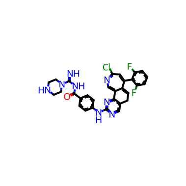 N=C(NC(=O)c1ccc(Nc2ncc3c(n2)C2=CN=C(Cl)C=C(c4c(F)cccc4F)C2=CC3)cc1)N1CCNCC1